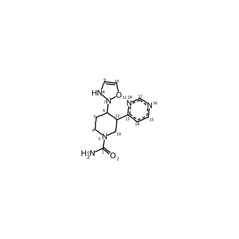 NC(=O)N1CCC(N2NC=CO2)C(c2ccncn2)C1